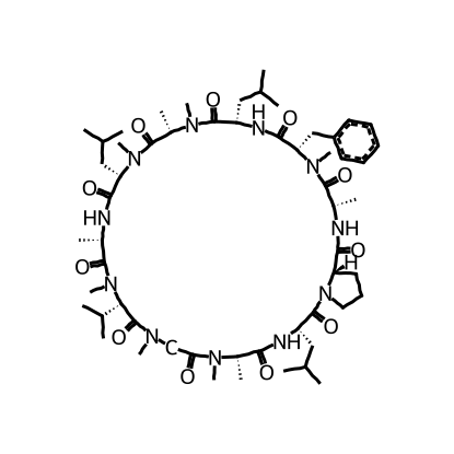 CC(C)C[C@@H]1NC(=O)[C@H](Cc2ccccc2)N(C)C(=O)[C@H](C)NC(=O)[C@@H]2CCCN2C(=O)[C@H](CC(C)C)NC(=O)[C@H](C)N(C)C(=O)CN(C)C(=O)[C@H](C(C)C)N(C)C(=O)[C@H](C)NC(=O)[C@H](CC(C)C)N(C)C(=O)[C@H](C)N(C)C1=O